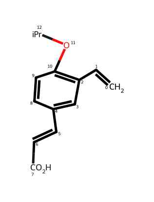 C=Cc1cc(C=CC(=O)O)ccc1OC(C)C